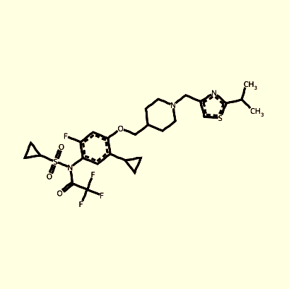 CC(C)c1nc(CN2CCC(COc3cc(F)c(N(C(=O)C(F)(F)F)S(=O)(=O)C4CC4)cc3C3CC3)CC2)cs1